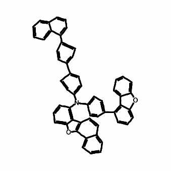 c1ccc2c(-c3ccc(-c4ccc(N(c5ccc(-c6cccc7oc8ccccc8c67)cc5)c5cccc6oc7c8ccccc8ccc7c56)cc4)cc3)cccc2c1